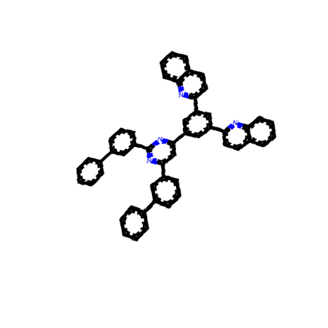 c1ccc(-c2cccc(-c3cc(-c4cc(-c5ccc6ccccc6n5)cc(-c5ccc6ccccc6n5)c4)nc(-c4cccc(-c5ccccc5)c4)n3)c2)cc1